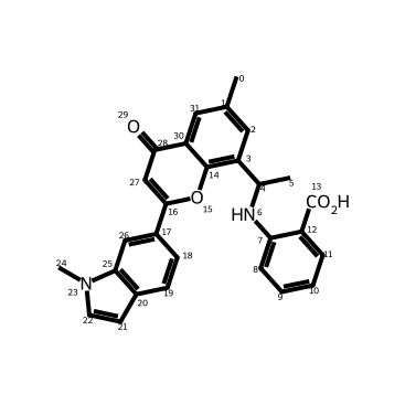 Cc1cc(C(C)Nc2ccccc2C(=O)O)c2oc(-c3ccc4ccn(C)c4c3)cc(=O)c2c1